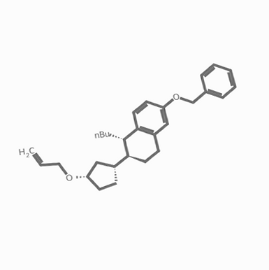 C=CCO[C@H]1CC[C@@H]([C@@H]2CCc3cc(OCc4ccccc4)ccc3[C@H]2CCCC)C1